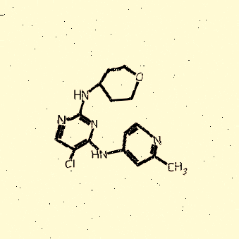 Cc1cc(Nc2nc(NC3CCOCC3)ncc2Cl)ccn1